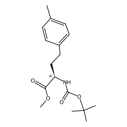 COC(=O)[C@@H](CCc1ccc(C)cc1)NC(=O)OC(C)(C)C